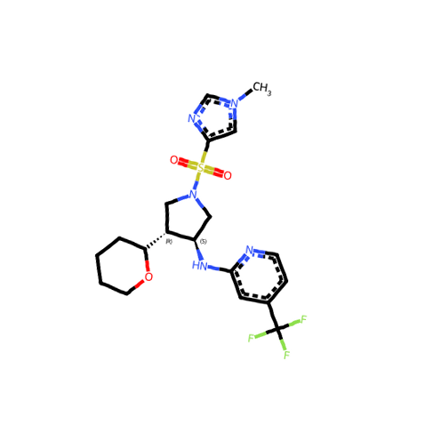 Cn1cnc(S(=O)(=O)N2C[C@@H](Nc3cc(C(F)(F)F)ccn3)[C@H](C3CCCCO3)C2)c1